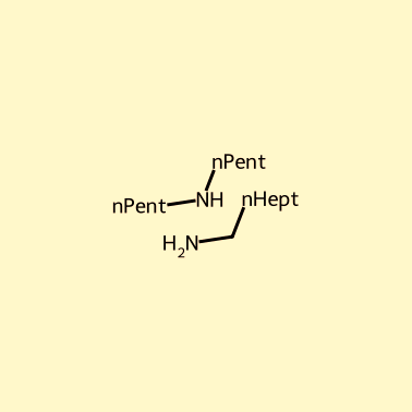 CCCCCCCCN.CCCCCNCCCCC